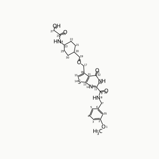 COc1cccc(CNC(=O)c2nc3scc(COCC4CCC(NC(=O)CO)CC4)c3c(=O)[nH]2)c1